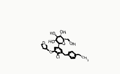 CCc1ccc(Cc2cc([C@@H]3O[C@H](CO)[C@@H](O)[C@H](O)[C@H]3O)cc(OC3CCOC3)c2Cl)cc1